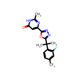 Cc1nc(-c2nnc(C(C)(C)c3ccc(C(F)(F)F)cc3F)o2)cc(=O)[nH]1